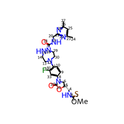 COC(=S)NC[C@H]1CN(c2ccc(N3CCNN(C(=O)NCc4nc(C)cc(C)n4)CC3)c(F)c2)C(=O)O1